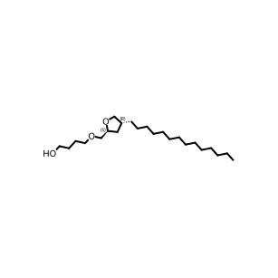 CCCCCCCCCCCCCC[C@H]1CO[C@H](COCCCCO)C1